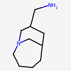 NCC1CC2CCCCN(C1)C2